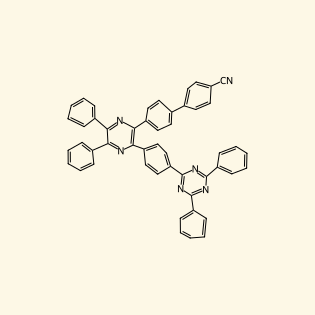 N#Cc1ccc(-c2ccc(-c3nc(-c4ccccc4)c(-c4ccccc4)nc3-c3ccc(-c4nc(-c5ccccc5)nc(-c5ccccc5)n4)cc3)cc2)cc1